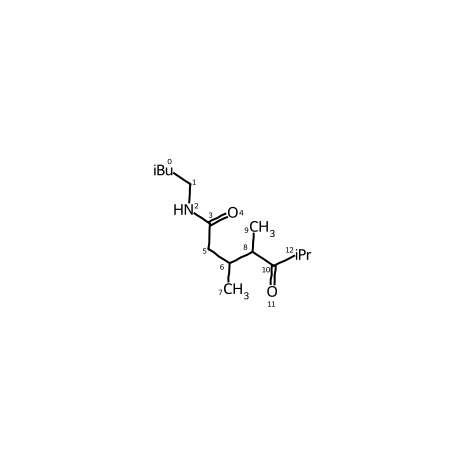 CCC(C)CNC(=O)CC(C)C(C)C(=O)C(C)C